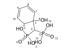 O=P(O)(O)C(C1(O)C=CC=CC1)P(=O)(O)O